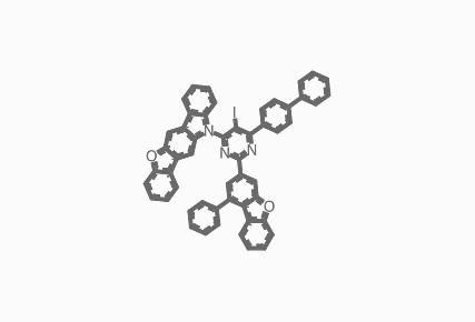 Ic1c(-c2ccc(-c3ccccc3)cc2)nc(-c2cc(-c3ccccc3)c3c(c2)oc2ccccc23)nc1-n1c2ccccc2c2cc3oc4ccccc4c3cc21